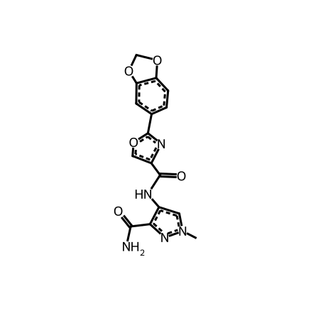 Cn1cc(NC(=O)c2coc(-c3ccc4c(c3)OCO4)n2)c(C(N)=O)n1